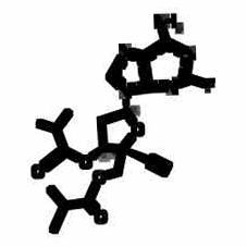 C#C[C@]1(COC(=O)C(C)C)O[C@@H](n2cnc3c(N)nc(F)nc32)C[C@@H]1OC(=O)C(C)C